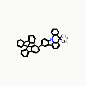 CC1(C)C2=C(C=CCC2)n2c3ccc(-c4ccc5c(c4)C4(C6=C(CCC=C6)c6ccccc64)c4ccccc4-5)cc3c3cccc1c32